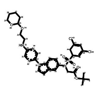 CC(C)(C)OC(=O)CN(c1ccc2c(ccn2-c2cnc(NCCOC3CCCCO3)cn2)c1)S(=O)(=O)C1C=C(Cl)C=C(Cl)C1